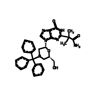 CC(C)(C(N)=O)c1nc2c(ncn2[C@H]2CN(C(c3ccccc3)(c3ccccc3)c3ccccc3)C[C@@H](CO)O2)c(=O)[nH]1